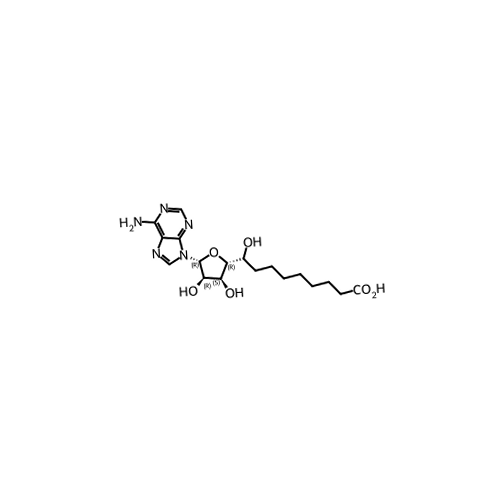 Nc1ncnc2c1ncn2[C@@H]1O[C@H](C(O)CCCCCCCC(=O)O)[C@@H](O)[C@H]1O